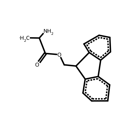 [CH2]C(N)C(=O)OCC1c2ccccc2-c2ccccc21